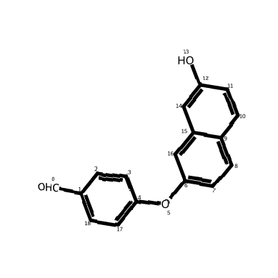 O=Cc1ccc(Oc2ccc3ccc(O)cc3c2)cc1